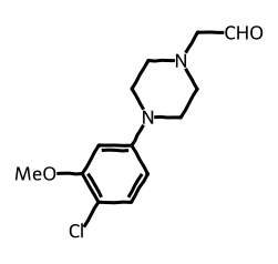 COc1cc(N2CCN(CC=O)CC2)ccc1Cl